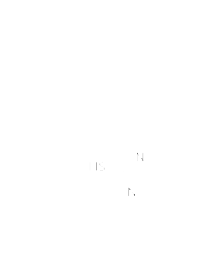 Sc1nccn1CCCc1ccccc1